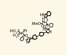 COC(=O)N[C@@H](Cc1c[nH]c2ccccc12)C(=O)N1CCC[C@H]1c1ncc(-c2ccc(-c3ccc(-c4cnc([C@@H]5CCCN5C(=O)[C@H](C(C)C)N(C)C(=O)O)[nH]4)cc3)cc2)[nH]1